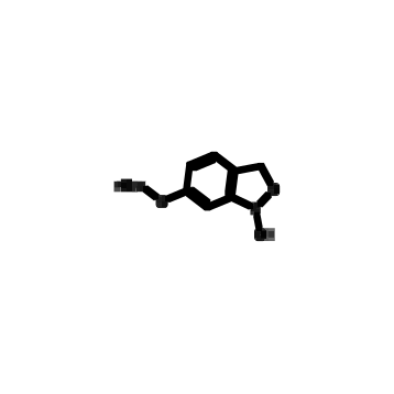 CCCCCCOc1ccc2c(c1)B(O)OC2